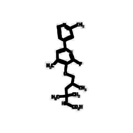 Cc1cc(-c2cc(C)c(OCC(C)CC(C)(C)NC(=O)O)c(F)n2)ccn1